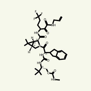 C=CCNC(=O)C(=O)C(CCC(F)(F)F)NC(=O)[C@@H]1[C@@H]2[C@H](CN1C(=O)[C@@H](NC(=O)N[C@H](COC(=O)NC)C(C)(C)C)C1Cc3ccccc3C1)C2(C)C